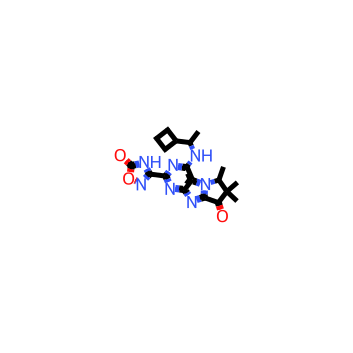 CC(Nc1nc(-c2noc(=O)[nH]2)nc2nc3n(c12)C(C)C(C)(C)C3=O)C1CCC1